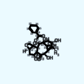 CC1=C2[C@@H](O)C(=O)[C@@]3(C)C([C@H](OC(=O)c4ccccc4)[C@](O)(C[C@@H]1O)C2(C)C)[C@]1(O)CO[C@@H]1C[C@@H]3O